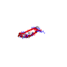 C=CC1Cc2ccccc2CN(C(=O)CCC(=O)NCCOCCOCCOCCOCCC(=O)N[C@H](C(=O)N[C@@H](CCCNC(N)=O)C(=O)Nc2ccc(COC(=O)N(C)C3CN(Cc4ccc(Cn5ccc6nc(N)nc(NCCCCC)c65)c(OC)c4)C3)cc2)C(C)C)c2ccccc21